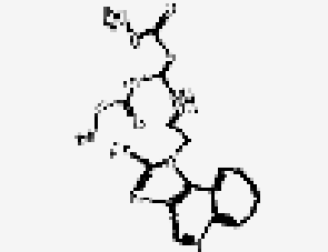 CCc1nc2cnc3ccccc3c2n1CCNC(=NC(=O)OC(C)(C)C)NC(=O)OC(C)(C)C